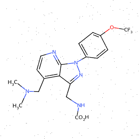 CN(C)Cc1ccnc2c1c(CNC(=O)O)nn2-c1ccc(OC(F)(F)F)cc1